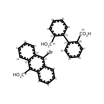 O=C(O)c1c2ccccc2c(Br)c2ccccc12.O=C(O)c1ccccc1-c1ccccc1C(=O)O